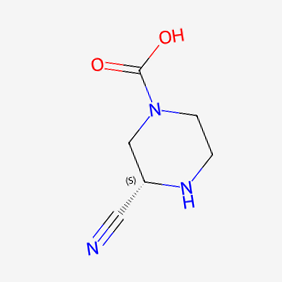 N#C[C@@H]1CN(C(=O)O)CCN1